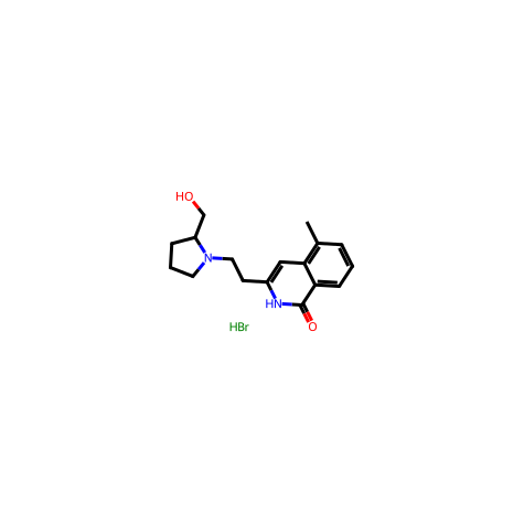 Br.Cc1cccc2c(=O)[nH]c(CCN3CCCC3CO)cc12